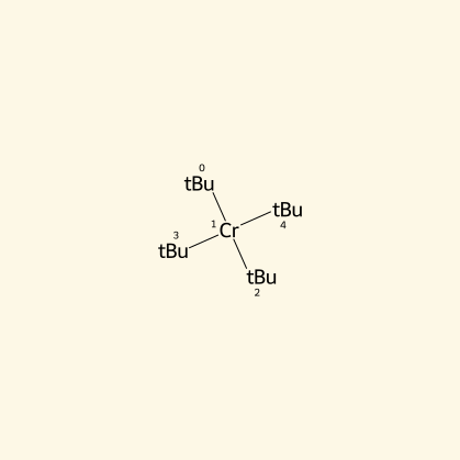 C[C](C)(C)[Cr]([C](C)(C)C)([C](C)(C)C)[C](C)(C)C